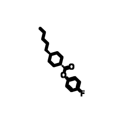 CCCCC[C@H]1CC[C@H](C(=O)Oc2ccc(F)cc2)CC1